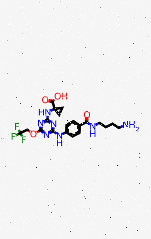 NCCCCNC(=O)c1ccc(Nc2nc(NC3(C(=O)O)CC3)nc(OCC(F)(F)F)n2)cc1